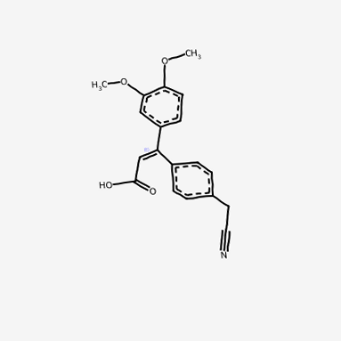 COc1ccc(/C(=C/C(=O)O)c2ccc(CC#N)cc2)cc1OC